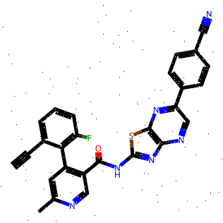 C#Cc1cccc(F)c1-c1cc(C)ncc1C(=O)Nc1nc2ncc(-c3ccc(C#N)cc3)nc2s1